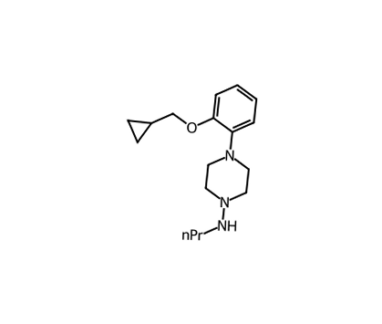 CCCNN1CCN(c2ccccc2OCC2CC2)CC1